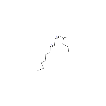 [CH2]CCCCC/C=C/C=C\C(C)CCC